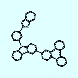 c1cc(-c2nc3ccccc3s2)cc(-n2c3ccccc3c3cc(-c4ccc5c6ccccc6c6ccccc6c5c4)ccc32)c1